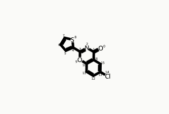 O=c1nc(-c2cccs2)oc2ccc(Cl)cc12